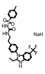 CCC1Nc2ccc(C(F)(F)F)cc2N1c1ccc(CCNC(=O)NS(=O)(=O)c2ccc(C)cc2)cc1.[NaH]